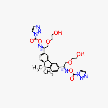 CC1(C)c2ccc(/C(COCCO)=N/OC(=O)n3ccnn3)cc2-c2cc(/C(COCCO)=N/OC(=O)n3ccnn3)ccc21